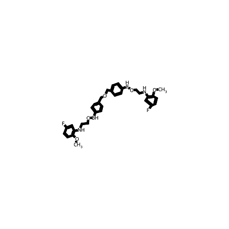 COc1ccc(F)cc1NCCOBc1ccc(COCc2ccc(BOCCNc3cc(F)ccc3OC)cc2)cc1